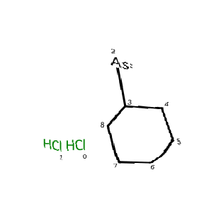 Cl.Cl.[As]C1CCCCC1